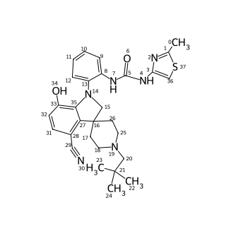 Cc1nc(NC(=O)Nc2ccccc2N2CC3(CCN(CC(C)(C)C)CC3)c3c(C#N)ccc(O)c32)cs1